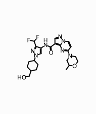 CC1CN(c2ccn3ncc(C(=O)Nc4cn(C5CCC(CO)CC5)nc4C(F)F)c3n2)CCO1